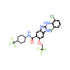 O=C(NC1CCC(C(F)(F)F)CC1)c1cc2nc(Nc3c(Cl)cccc3Cl)[nH]c2cc1OCC(F)(F)F